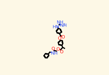 CC(C(=O)OCC(=O)NCc1ccccc1)c1ccc(OC(=O)c2ccc(NC(=N)N)cc2)cc1